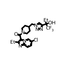 CCc1nc2ccc(Cl)cn2c1C(=O)N1CCC(Cn2cc(C(O)(CC)C(F)(F)F)nn2)CC1